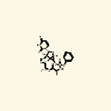 COC[C@@H](C)OC(=O)[C@H](C)NP(=O)(Oc1ccccc1)OC1[C@H]2O[C@@H](n3ccc(=O)[nH]c3=O)[C@@](F)(Cl)[C@@]12O